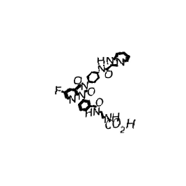 O=C(O)NCCNC(=O)c1cccc(-n2c(=O)n([C@H]3CC[C@@H](NC(=O)c4cn5ccccc5n4)CC3)c(=O)c3cc(F)cnc32)c1